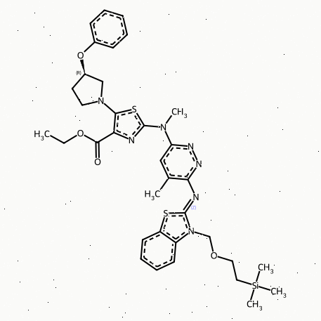 CCOC(=O)c1nc(N(C)c2cc(C)c(/N=c3\sc4ccccc4n3COCC[Si](C)(C)C)nn2)sc1N1CC[C@@H](Oc2ccccc2)C1